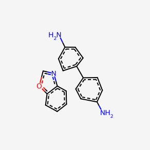 Nc1ccc(-c2ccc(N)cc2)cc1.c1ccc2ocnc2c1